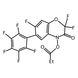 CCC(=O)ON1C(=O)C(F)(F)Oc2cc(F)c(-c3c(F)c(F)c(F)c(F)c3F)cc21